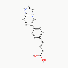 O=C(O)CC=Cc1ccc(-c2ccc3nccn3c2)cc1